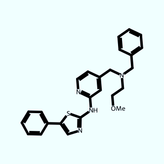 COCCN(Cc1ccccc1)Cc1ccnc(Nc2ncc(-c3ccccc3)s2)c1